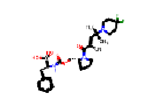 CC(C)(/C=C(\C#N)C(=O)N1CCC[C@@H]1COC(=O)N[C@@H](Cc1ccccc1)B(O)O)N1CCC(F)(F)CC1